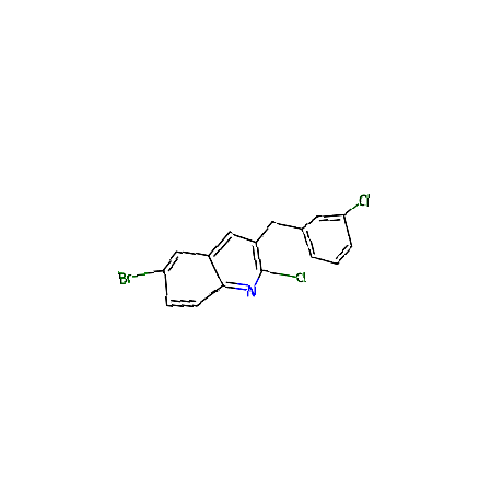 Clc1cccc(Cc2cc3cc(Br)ccc3nc2Cl)c1